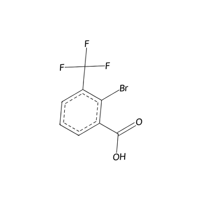 O=C(O)c1cccc(C(F)(F)F)c1Br